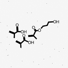 C=C(C)C(=O)O.C=C(C)C(=O)O.C=C(C)C(=O)OCCCO